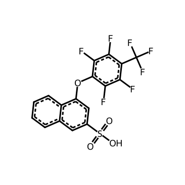 O=S(=O)(O)c1cc(Oc2c(F)c(F)c(C(F)(F)F)c(F)c2F)c2ccccc2c1